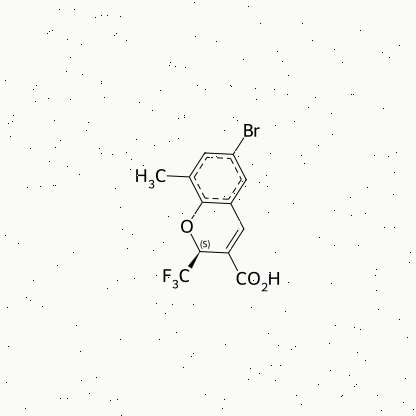 Cc1cc(Br)cc2c1O[C@H](C(F)(F)F)C(C(=O)O)=C2